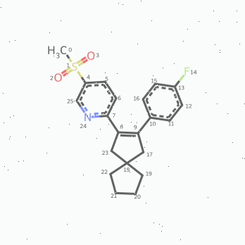 CS(=O)(=O)c1ccc(C2=C(c3ccc(F)cc3)CC3(CCCC3)C2)nc1